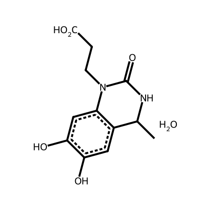 CC1NC(=O)N(CCC(=O)O)c2cc(O)c(O)cc21.O